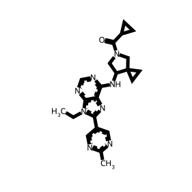 CCn1c(-c2cnc(C)nc2)nc2c(NC3CN(C(=O)C4CC4)CC34CC4)ncnc21